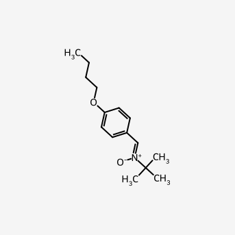 CCCCOc1ccc(C=[N+]([O-])C(C)(C)C)cc1